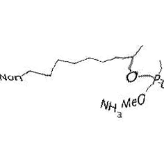 CCCCCCCCCCCCCCCCC(C)OP(C)(=O)OC.N